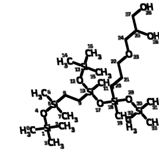 C[Si](C)(C)O[Si](C)(C)CC[Si](C)(O[Si](C)(C)C)O[Si](C)(CCCOCC(O)CO)O[Si](C)(C)C